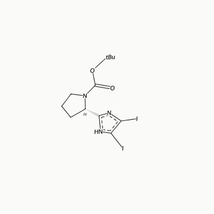 CC(C)(C)OC(=O)N1CCC[C@H]1c1nc(I)c(I)[nH]1